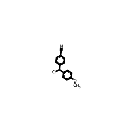 COc1ccc(C(Cl)c2ccc(C#N)cc2)cc1